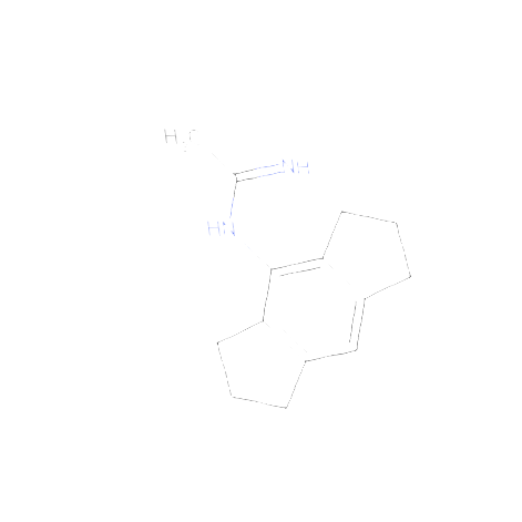 CC(=N)Nc1c2c(cc3c1CCC3)CCC2